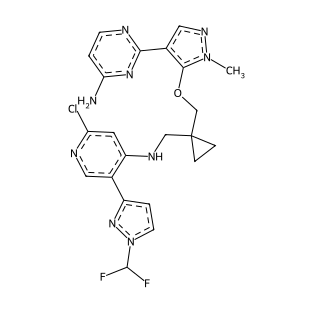 Cn1ncc(-c2nccc(N)n2)c1OCC1(CNc2cc(Cl)ncc2-c2ccn(C(F)F)n2)CC1